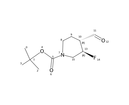 CC(C)(C)OC(=O)N1CC[C@H](C=O)[C@@H](F)C1